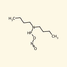 CCCCN(CCCC)PON=O